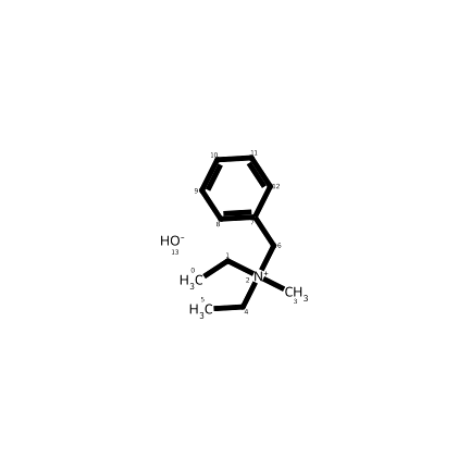 CC[N+](C)(CC)Cc1ccccc1.[OH-]